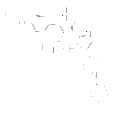 COc1ccc(-c2[nH]nc(-c3ncc(C4CCN(C5CCOCC5)CC4)s3)c2C(C)C)cc1OC